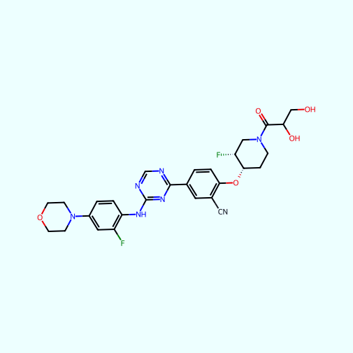 N#Cc1cc(-c2ncnc(Nc3ccc(N4CCOCC4)cc3F)n2)ccc1O[C@H]1CCN(C(=O)C(O)CO)C[C@H]1F